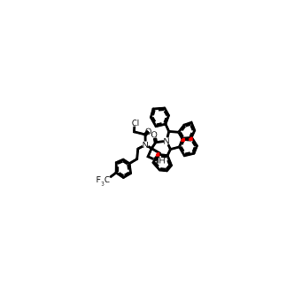 O=C(CCl)N(CCc1ccc(C(F)(F)F)cc1)C1(C(=O)N(C(c2ccccc2)c2ccccc2)C(c2ccccc2)c2ccccc2)CNC1